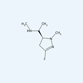 CNC(C)[C@@H]1CC(F)=NN1C